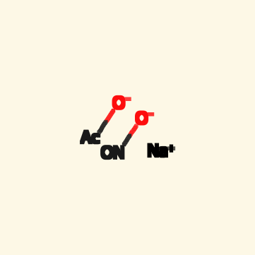 CC(=O)[O-].O=[NH+][O-].[Na+]